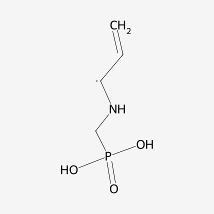 C=C[CH]NCP(=O)(O)O